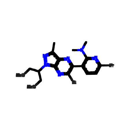 CCc1nc2c(nc1-c1ccc(C(C)C)nc1N(C)C)c(C)nn2C(COC)COC